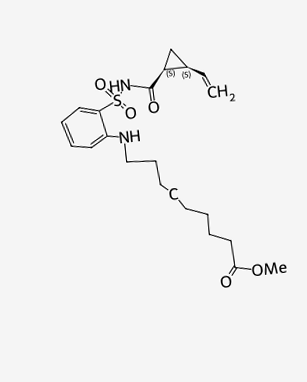 C=C[C@@H]1C[C@@H]1C(=O)NS(=O)(=O)c1ccccc1NCCCCCCCCC(=O)OC